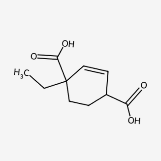 CCC1(C(=O)O)C=CC(C(=O)O)CC1